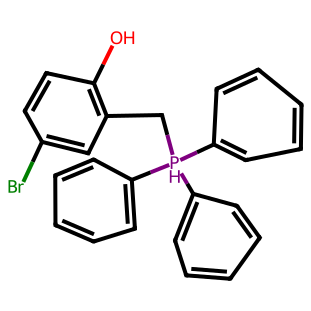 Oc1ccc(Br)cc1C[PH](c1ccccc1)(c1ccccc1)c1ccccc1